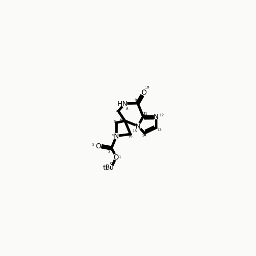 CC(C)(C)OC(=O)N1CC2(CNC(=O)c3nccn32)C1